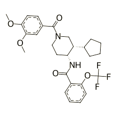 COc1ccc(C(=O)N2CC[C@@H](NC(=O)c3ccccc3OC(F)(F)F)[C@@H](C3CCCC3)C2)cc1OC